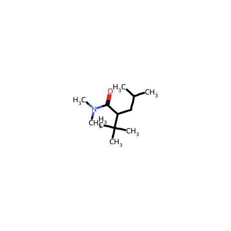 CC(C)CC(C(=O)N(C)C)C(C)(C)C